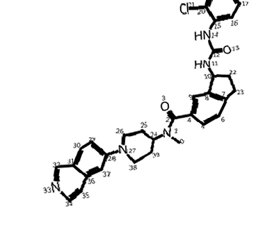 CN(C(=O)c1ccc2c(c1)C(NC(=O)Nc1ccccc1Cl)CC2)C1CCN(c2ccc3cnccc3c2)CC1